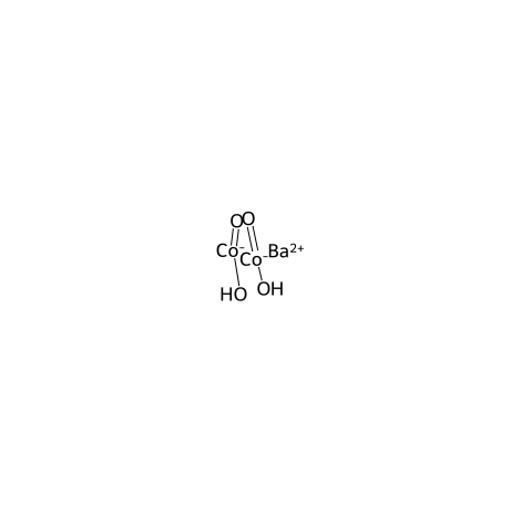 [Ba+2].[O]=[Co-][OH].[O]=[Co-][OH]